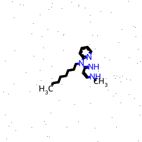 CCCCCCCCN(C(=N)/C=C\NC)c1ccccn1